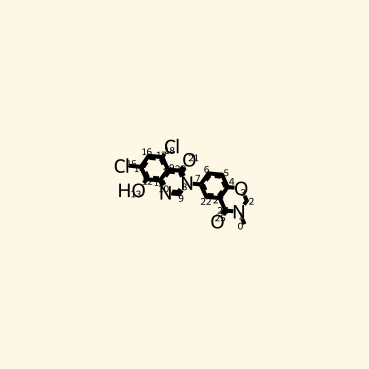 CN1COc2ccc(-n3cnc4c(O)c(Cl)cc(Cl)c4c3=O)cc2C1=O